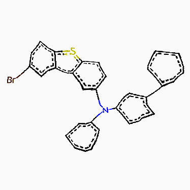 Brc1ccc2sc3ccc(N(c4ccccc4)c4cccc(-c5ccccc5)c4)cc3c2c1